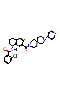 O=C(N[C@@H]1CCCc2cc(F)c(C(=O)N3CCC4(CC3)CCN(c3ccncc3)CC4)cc21)c1ccccc1Cl